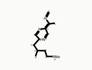 C=N/C(C)=C(C=N)\N=C/CCC(C)CCNC